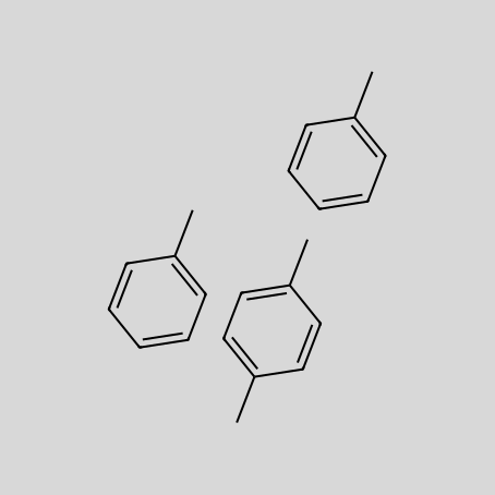 Cc1ccc(C)cc1.Cc1ccccc1.Cc1ccccc1